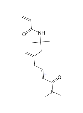 C=CC(=O)NC(C)(C)CC(=C)C/C=C/C(=O)N(C)C